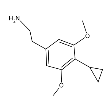 COc1cc(CCN)cc(OC)c1C1CC1